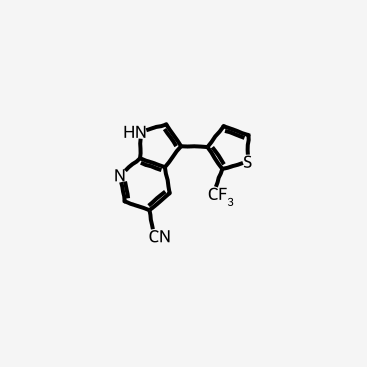 N#Cc1cnc2[nH]cc(-c3ccsc3C(F)(F)F)c2c1